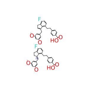 COc1cc(/C=C2\CCc3c(F)ccc(CCc4ccc(C(=O)O)cc4)c32)cc(OC)c1.COc1cc(CC2=CCc3c(F)ccc(CCc4ccc(C(=O)O)cc4)c32)cc(OC)c1